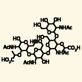 CC(=O)NC1C(OC2C(CO)OC(OC3C(CO)OC(OC4C(CO)OC(O)C(NC(C)=O)C4OC(C)C(=O)O)C(NC(C)=O)C3O)C(NC(C)=O)C2OC(C)C(=O)O)OC(CO)C(O)C1O